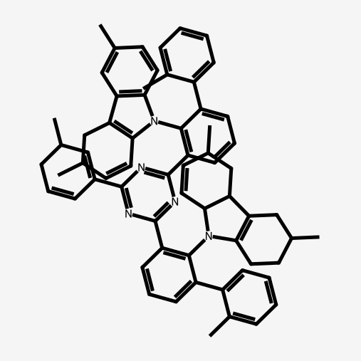 Cc1ccc2c(c1)c1c(n2-c2c(-c3nc(C4=CC(C)CC=C4)nc(-c4cccc(-c5ccccc5C)c4N4C5=C(CC(C)CC5)C5CC(C)C=CC54)n3)cccc2-c2ccccc2C)C=CC(C)C1